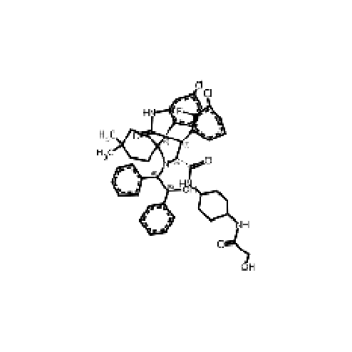 CC1(C)CCC2(CC1)N([C@H](c1ccccc1)[C@@H](O)c1ccccc1)[C@@H](C(=O)NC1CCC(NC(=O)CO)CC1)[C@H](c1cccc(Cl)c1F)[C@@]21C(=O)Nc2cc(Cl)ccc21